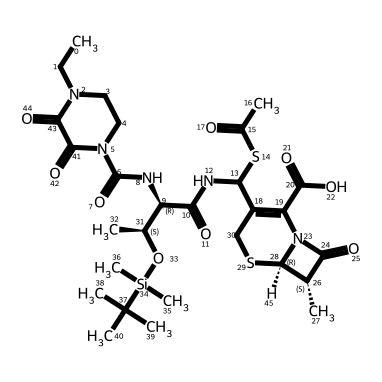 CCN1CCN(C(=O)N[C@@H](C(=O)NC(SC(C)=O)C2=C(C(=O)O)N3C(=O)[C@H](C)[C@H]3SC2)[C@H](C)O[Si](C)(C)C(C)(C)C)C(=O)C1=O